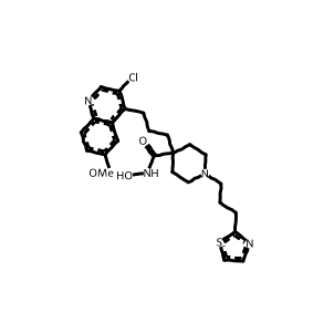 COc1ccc2ncc(Cl)c(CCCC3(C(=O)NO)CCN(CCCc4nccs4)CC3)c2c1